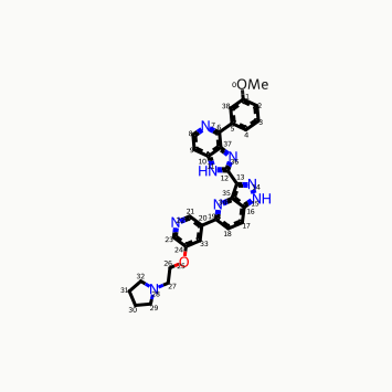 COc1cccc(-c2nccc3[nH]c(-c4n[nH]c5ccc(-c6cncc(OCCN7CCCC7)c6)nc45)nc23)c1